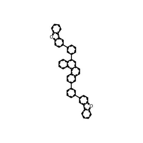 c1cc(-c2ccc3c(ccc4cc(-c5cccc(-c6ccc7oc8ccccc8c7c6)c5)c5ccccc5c43)c2)cc(-c2ccc3oc4ccccc4c3c2)c1